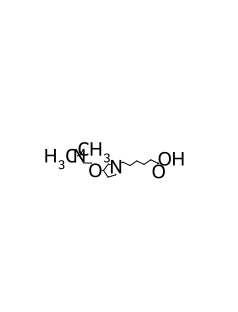 CN(C)CCOC1CCN(CCCCCC(=O)O)C1